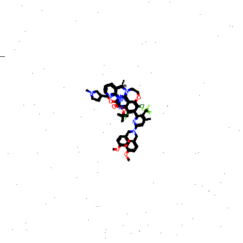 COc1ccc(CN(Cc2ccc(OC)cc2)c2cc(C)c(C(F)(F)F)c(-c3c(Cl)c4c5c(nc(OCC6CCN(C)C6)nc5c3F)N([C@H](C)c3cccnc3NC(=O)OC(C)(C)C)CCO4)n2)cc1